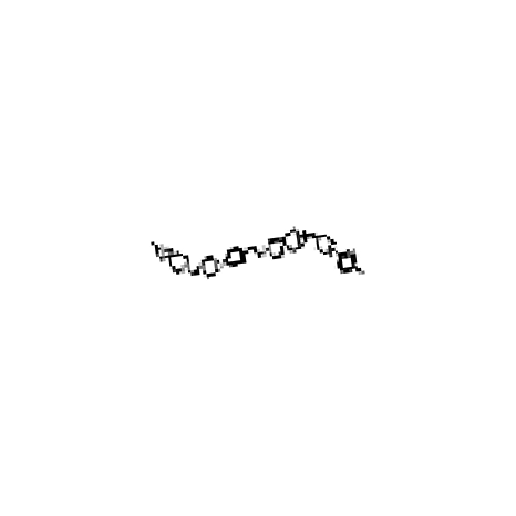 Cc1ccc(N2CCC(CN3CCC4(CCN(CCc5ccc(N6CCN(CN7CCC8(CC7)CN(C)C8)CC6)cc5)CC4)CC3)CC2)nc1